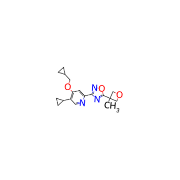 CC1(c2nc(-c3cc(OCC4CC4)c(C4CC4)cn3)no2)COC1